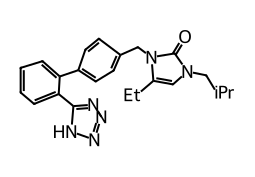 CCc1cn(CC(C)C)c(=O)n1Cc1ccc(-c2ccccc2-c2nnn[nH]2)cc1